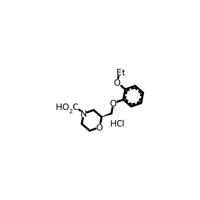 CCOc1ccccc1OC[C@@H]1CN(C(=O)O)CCO1.Cl